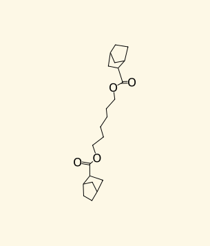 O=C(OCCCCCCOC(=O)C1CC2CCC1C2)C1CC2CCC1C2